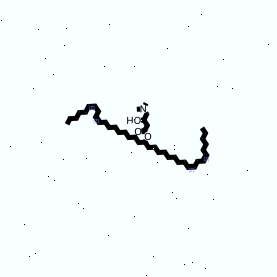 CCCCC/C=C\C/C=C\CCCCCCCCC(CCCCCCCC/C=C\C/C=C\CCCCC)OC(=O)CC(O)CN(C)C